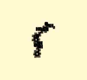 NC(=O)c1cn([C@H](O)CCCn2ccc3ccc(NC(=O)NCCc4ccccc4)cc32)cn1